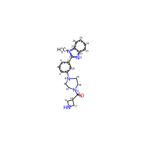 Cn1c(-c2cccc(N3CCN(C(=O)C4CNC4)CC3)c2)nc2ccccc21